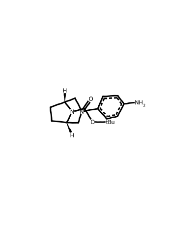 CC(C)(C)OC(=O)N1[C@@H]2CC[C@H]1CN(c1ccc(N)cc1)C2